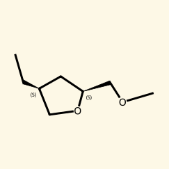 CC[C@@H]1CO[C@H](COC)C1